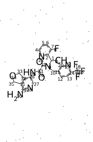 CC(c1ncccc1F)N(Cc1ccc(C(F)(F)F)nc1)C(=O)C(=O)Nc1cnc(N)c2c1COC2